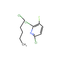 CCCCCCl.Fc1ccc(Cl)nc1Cl